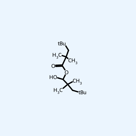 CC(C)(C)CC(C)(C)C(=O)OC(O)C(C)(C)CC(C)(C)C